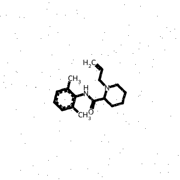 C=CCN1CCCCC1C(=O)Nc1c(C)cccc1C